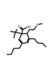 CCCCC1=CC(C(=O)O)(C(C)(C)C)C(CCOC)C(CCCC)=C1